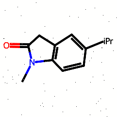 CC(C)c1ccc2c(c1)CC(=O)N2C